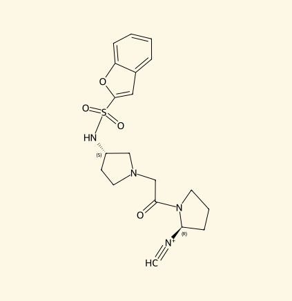 C#[N+][C@@H]1CCCN1C(=O)CN1CC[C@H](NS(=O)(=O)c2cc3ccccc3o2)C1